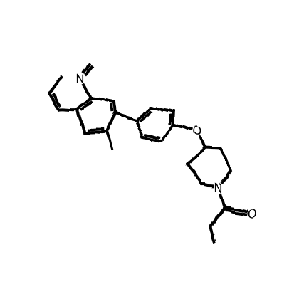 C=Nc1cc(-c2ccc(OC3CCN(C(=O)CC)CC3)cc2)c(C)cc1/C=C\C